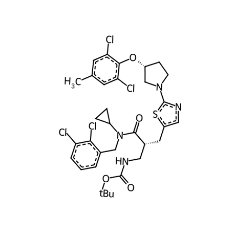 Cc1cc(Cl)c(O[C@@H]2CCN(c3ncc(C[C@H](CNC(=O)OC(C)(C)C)C(=O)N(Cc4cccc(Cl)c4Cl)C4CC4)s3)C2)c(Cl)c1